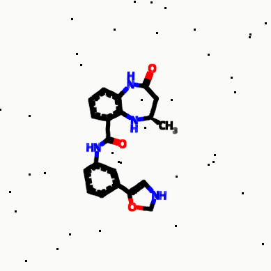 C[C@@H]1CC(=O)Nc2cccc(C(=O)Nc3cccc(C4=CNCO4)c3)c2N1